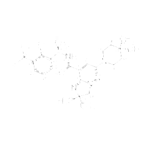 C[C@@H](NC(=O)C1=CC(N2CCC(C)(O)CC2)=NN2CC(C)(C)N=C12)c1cccc(C(F)F)c1F